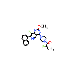 C=C(F)C(=O)N1CCN(c2nc(OC)nc3c(F)c(-c4cccc5ccccc45)ncc23)CC1